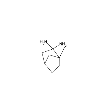 CC12CCC(CC1(N)N)C2